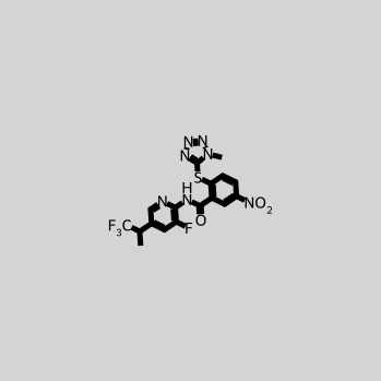 CC(c1cnc(NC(=O)c2cc([N+](=O)[O-])ccc2Sc2nnnn2C)c(F)c1)C(F)(F)F